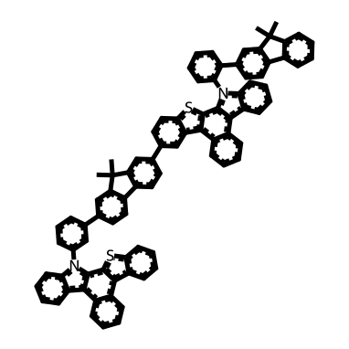 CC1(C)c2cc(-c3cccc(-n4c5ccccc5c5c6ccccc6c6c7ccccc7sc6c54)c3)ccc2-c2ccc(-c3ccc4sc5c(c4c3)c3ccccc3c3c4ccccc4n(-c4ccccc4-c4ccc6c(c4)C(C)(C)c4ccccc4-6)c53)cc21